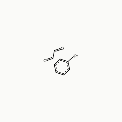 CC(C)c1ccccc1.O=CC=O